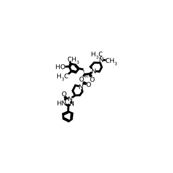 Cc1cc(C[C@@H](OC(=O)N2CCC(n3nc(-c4ccccc4)[nH]c3=O)CC2)C(=O)N2CCC(N(C)C)CC2)cc(C)c1O